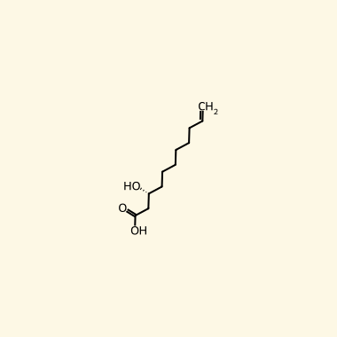 C=CCCCCCC[C@@H](O)CC(=O)O